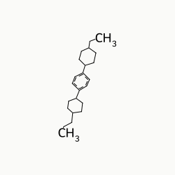 CCCC1CCC(c2ccc(C3CCC(CC)CC3)cc2)CC1